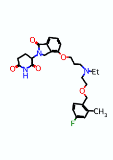 CCN(CCCOc1cccc2c1CN(C1CCC(=O)NC1=O)C2=O)CCOCc1ccc(F)cc1C